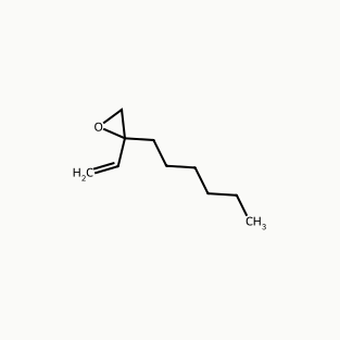 C=CC1(CCCCCC)CO1